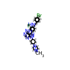 CN1CCN([C@H]2CC[C@@H](n3nc(-c4ccc(NCc5ccc(Br)cc5)c(F)c4)c4c(N)ncnc43)CC2)CC1